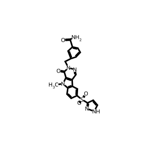 Cn1c2ccc(S(=O)(=O)c3cc[nH]n3)cc2c2cnn(Cc3cccc(C(N)=O)c3)c(=O)c21